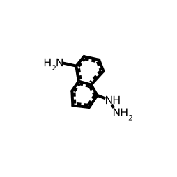 NNc1cccc2c(N)cccc12